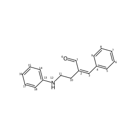 O=CC(=Cc1ccccc1)CCNc1ccccc1